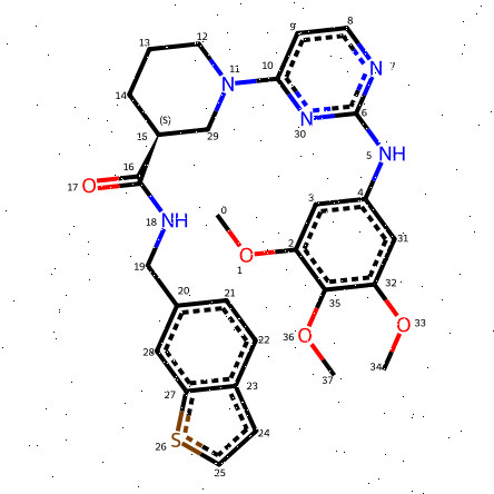 COc1cc(Nc2nccc(N3CCC[C@H](C(=O)NCc4ccc5ccsc5c4)C3)n2)cc(OC)c1OC